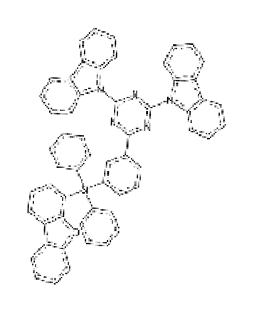 c1ccc([Si](c2ccccc2)(c2cccc(-c3nc(-n4c5ccccc5c5ccccc54)nc(-n4c5ccccc5c5ccccc54)n3)c2)c2cccc3c2oc2ccccc23)cc1